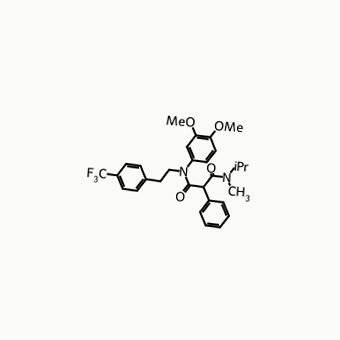 COc1ccc(N(CCc2ccc(C(F)(F)F)cc2)C(=O)C(C(=O)N(C)C(C)C)c2ccccc2)cc1OC